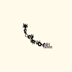 CN/C=C(\C=N)c1ccc(CNc2cc(-c3cnc4cc(OCCN5CC(c6nc(C)no6)C5)ccn34)ncn2)cc1